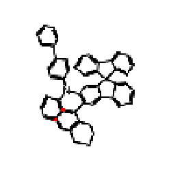 c1ccc(-c2ccc(N(c3ccccc3)c3cc4c(cc3-c3cccc5c3CCCC5)-c3ccccc3C43c4ccccc4-c4ccccc43)cc2)cc1